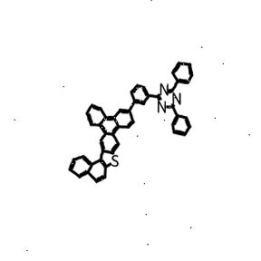 c1ccc(-c2nc(-c3ccccc3)nc(-c3cccc(-c4ccc5c(c4)c4ccccc4c4cc6c(cc54)sc4ccc5ccccc5c46)c3)n2)cc1